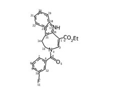 CCOC(=O)C1=CN(C(=O)c2cccc(F)c2)CCc2c1[nH]c1ccccc21